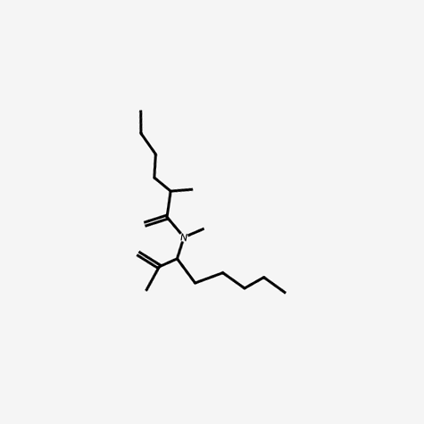 C=C(C)C(CCCCC)N(C)C(=C)C(C)CCCC